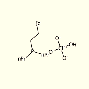 CCCP(CCC)C[CH2][Tc].[O-][Cl+3]([O-])([O-])O